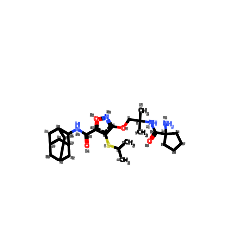 CC(C)Sc1c(OCC(C)(C)NC(=O)C2(N)CCCC2)noc1C(=O)NC1C2CC3CC(C2)CC1C3